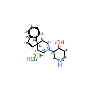 Cl.Cl.OC1CCNCC1N1CCC2(C=Cc3ccccc32)CC1